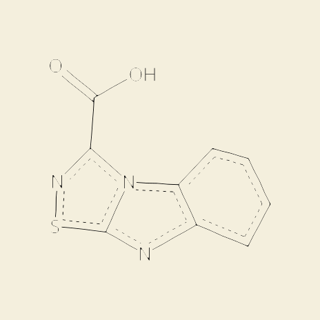 O=C(O)c1nsc2nc3ccccc3n12